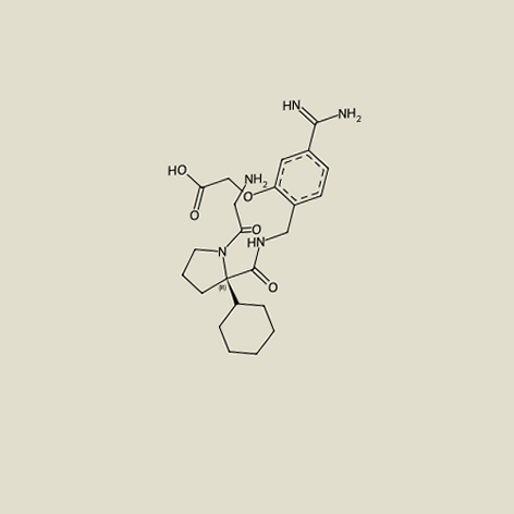 N=C(N)c1ccc(CNC(=O)[C@]2(C3CCCCC3)CCCN2C(=O)CN)c(OCC(=O)O)c1